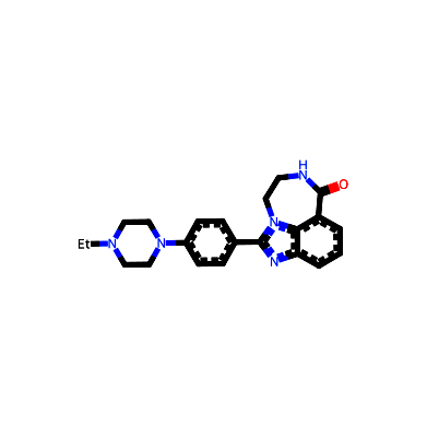 CCN1CCN(c2ccc(-c3nc4cccc5c4n3CCNC5=O)cc2)CC1